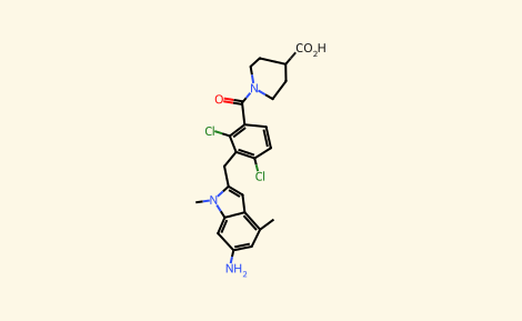 Cc1cc(N)cc2c1cc(Cc1c(Cl)ccc(C(=O)N3CCC(C(=O)O)CC3)c1Cl)n2C